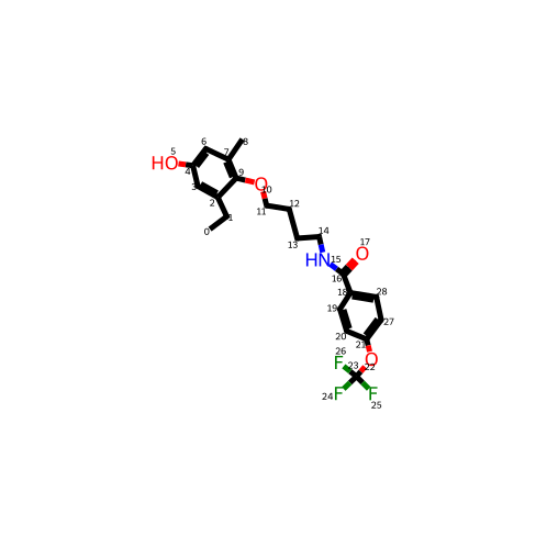 CCc1cc(O)cc(C)c1OCCCCNC(=O)c1ccc(OC(F)(F)F)cc1